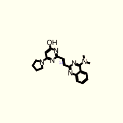 CN(C)c1nc(/C=C/c2nc(O)cc(N3CCCC3)n2)nc2ccccc12